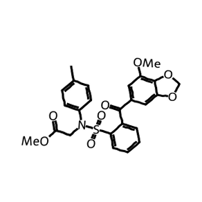 COC(=O)CN(c1ccc(C)cc1)S(=O)(=O)c1ccccc1C(=O)c1cc(OC)c2c(c1)OCO2